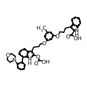 Cc1cc(OCCCc2c(C(=O)O)[nH]c3ccccc23)cc(OCCCc2c(OC(=O)O)[nH]c3c(-c4ccccc4N4CCOCC4)cccc23)c1